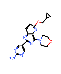 Nc1ncc(-c2nc(N3CCOCC3)c3nc(OCC4CC4)ccc3n2)cn1